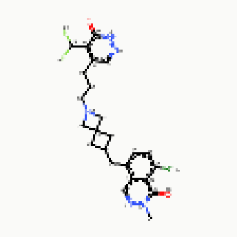 Cn1ncc2c(CC3CC4(C3)CN(CCCc3cn[nH]c(=O)c3C(F)F)C4)ccc(Cl)c2c1=O